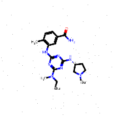 CCC(C)N1CC[C@@H](Nc2nc(Nc3cc(C(N)=O)ccc3C)nc(N(C)CC(C)(C)C)n2)C1